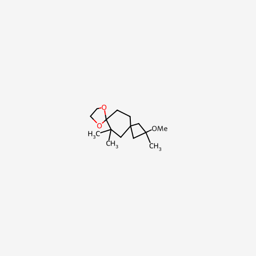 COC1(C)CC2(CCC3(OCCO3)C(C)(C)C2)C1